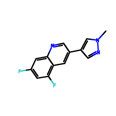 Cn1cc(-c2cnc3cc(F)cc(F)c3c2)cn1